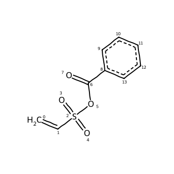 C=CS(=O)(=O)OC(=O)c1ccccc1